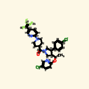 C[C@H](Oc1ccc(Cl)cn1)[C@H]1CN(C(=O)C2CCN(c3ccc(C(F)(F)F)cn3)CC2)CC1c1ccc(Cl)cc1